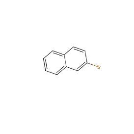 [S]c1ccc2ccccc2c1